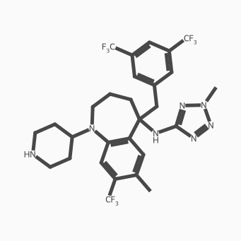 Cc1cc2c(cc1C(F)(F)F)N(C1CCNCC1)CCCC2(Cc1cc(C(F)(F)F)cc(C(F)(F)F)c1)Nc1nnn(C)n1